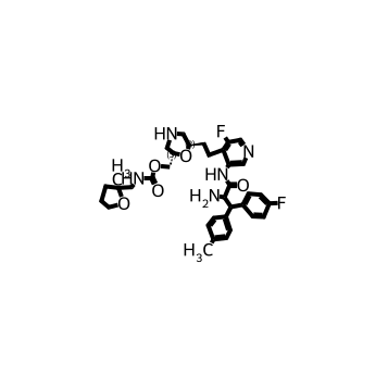 Cc1ccc(C(c2ccc(F)cc2)C(N)C(=O)Nc2cncc(F)c2CC[C@@H]2CNC[C@@H](COC(=O)NCC3(C)CCCO3)O2)cc1